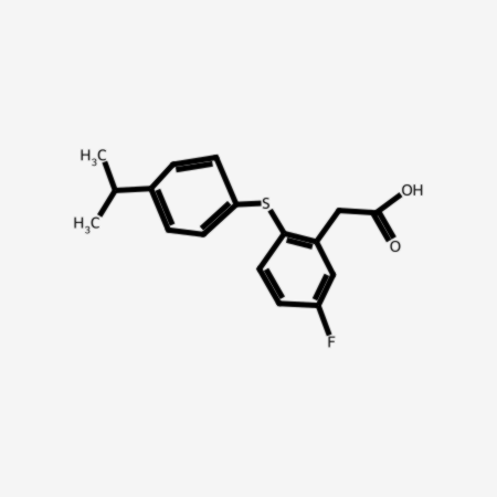 CC(C)c1ccc(Sc2ccc(F)cc2CC(=O)O)cc1